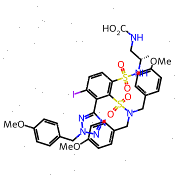 COc1ccc(CN(Cc2ccc(OC)cc2)S(=O)(=O)c2c(S(=O)(=O)N[C@@H](C)CNC(=O)O)ccc(I)c2-c2nnn(Cc3ccc(OC)cc3)n2)cc1